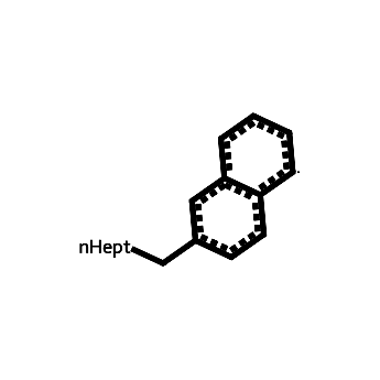 CCCCCCCCc1ccc2[c]cccc2c1